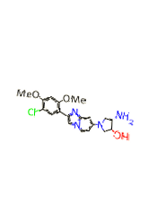 COc1cc(OC)c(-c2cn3ccc(N4C[C@H](N)[C@@H](O)C4)cc3n2)cc1Cl